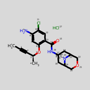 CC#C[C@H](C)Oc1cc(N)c(Cl)cc1C(=O)NC1CC2COCC(C1)N2C.Cl